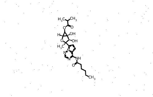 CCCCCC(=O)Nc1ncnn2c([C@]3(C)O[C@@H]4C(OC(=O)C(C)C)[C@]4(O)[C@H]3O)ccc12